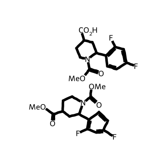 COC(=O)C1CCN(C(=O)OC)C(c2ccc(F)cc2F)C1.COC(=O)N1CCC(C(=O)O)CC1c1ccc(F)cc1F